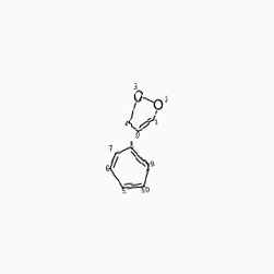 C1=COOC1.c1ccccc1